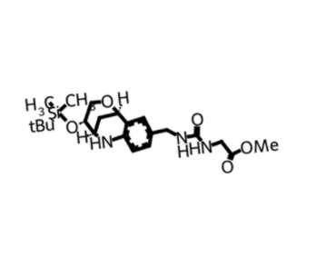 COC(=O)CNC(=O)NCc1ccc2c(c1)[C@H]1C[C@@H](N2)[C@H](O[Si](C)(C)C(C)(C)C)CO1